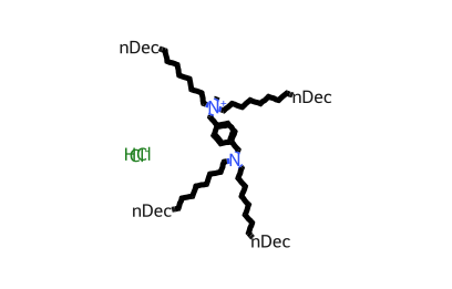 CCCCCCCCCCCCCCCCCCN(CCCCCCCCCCCCCCCCCC)Cc1ccc(C[N+](C)(CCCCCCCCCCCCCCCCCC)CCCCCCCCCCCCCCCCCC)cc1.Cl.[Cl-]